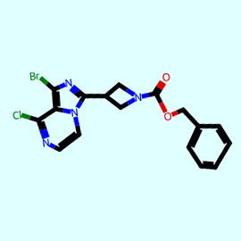 O=C(OCc1ccccc1)N1CC(c2nc(Br)c3c(Cl)nccn23)C1